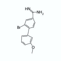 COc1cccc(-c2ccc(C(=N)N)cc2Br)c1